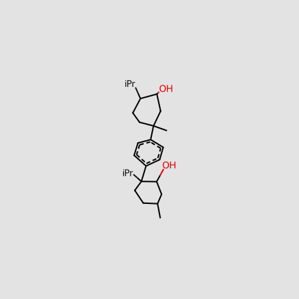 CC1CCC(c2ccc(C3(C)CCC(C(C)C)C(O)C3)cc2)(C(C)C)C(O)C1